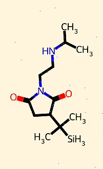 CC(C)NCCN1C(=O)CC(C(C)(C)[SiH3])C1=O